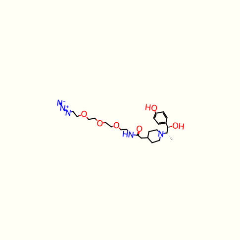 C[C@@H]([C@H](O)c1ccc(O)cc1)N1CCC(CC(=O)NCCOCCOCCOCCN=[N+]=[N-])CC1